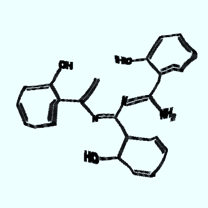 C=C(/N=C(\N=C(/N)c1ccccc1O)C1C=CC=CC1O)c1ccccc1O